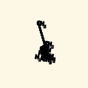 CCCCCCCCCCCCCCCCC(C)C1CC(=O)N(NC(=O)C(=O)NC2CC(C)(C)NC(C)(C)C2)C1=O